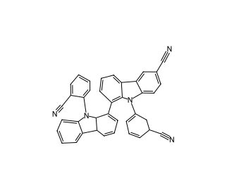 N#Cc1ccc2c(c1)c1cccc(C3=CC=CC4c5ccccc5N(c5ccccc5C#N)C34)c1n2C1=CC=CC(C#N)C1